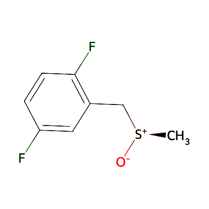 C[S@@+]([O-])Cc1cc(F)ccc1F